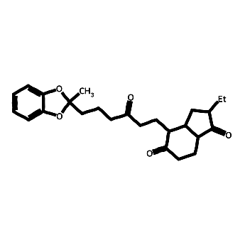 CCC1CC2C(CCC(=O)CCCC3(C)Oc4ccccc4O3)C(=O)CCC2C1=O